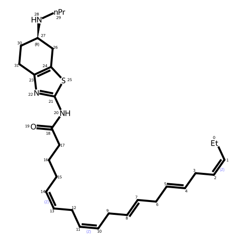 CC/C=C\CC=CCC=CC/C=C\C/C=C\CCCC(=O)Nc1nc2c(s1)C[C@H](NCCC)CC2